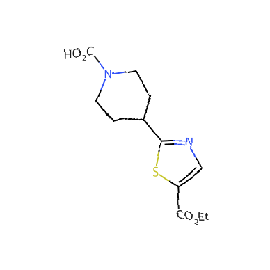 CCOC(=O)c1cnc(C2CCN(C(=O)O)CC2)s1